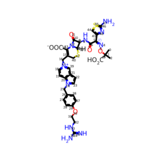 CC(C)(O/N=C(\C(=O)N[C@@H]1C(=O)N2C(C(=O)[O-])=C(C[n+]3ccc4c(ccn4Cc4ccc(OCCNC(=N)N)cc4)c3)CS[C@H]12)c1csc(N)n1)C(=O)O